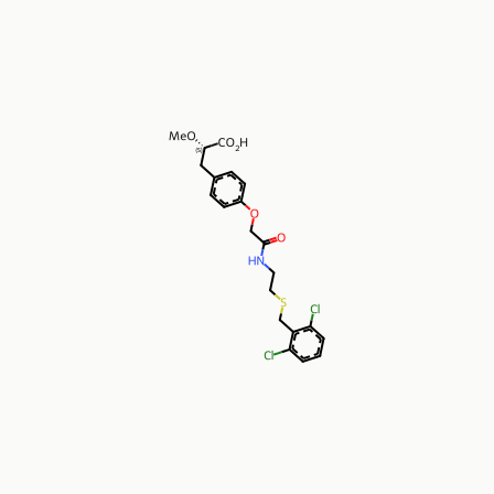 CO[C@@H](Cc1ccc(OCC(=O)NCCSCc2c(Cl)cccc2Cl)cc1)C(=O)O